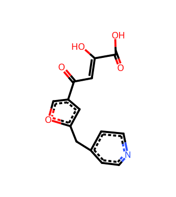 O=C(O)C(O)=CC(=O)c1coc(Cc2ccncc2)c1